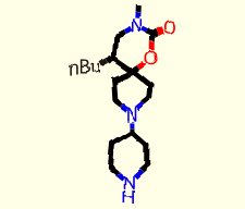 CCCCC1CN(C)C(=O)OC12CCN(C1CCNCC1)CC2